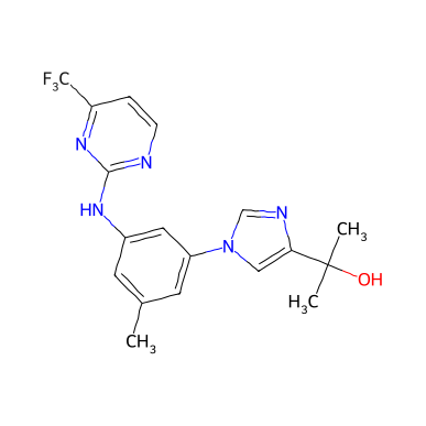 Cc1cc(Nc2nccc(C(F)(F)F)n2)cc(-n2cnc(C(C)(C)O)c2)c1